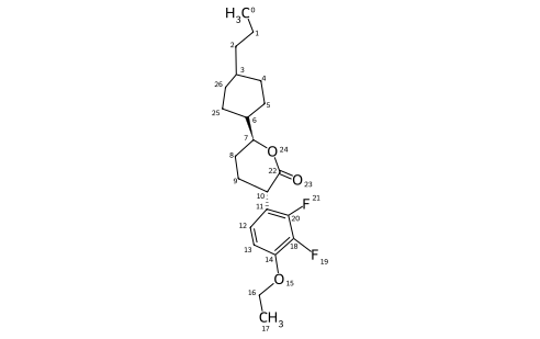 CCCC1CCC([C@@H]2CC[C@@H](c3ccc(OCC)c(F)c3F)C(=O)O2)CC1